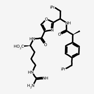 CC(C)Cc1ccc([C@H](C)C(=O)NC(CC(C)C)c2nc(C(=O)N[C@@H](CCCNC(=N)N)C(=O)O)co2)cc1